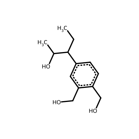 CCC(c1ccc(CO)c(CO)c1)C(C)O